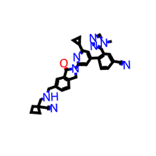 Cn1cnnc1-c1cc(C#N)ccc1-c1cc(C2CC2)nc(N2Cc3ccc(CNCC4(C#N)CCC4)cc3C2=O)c1